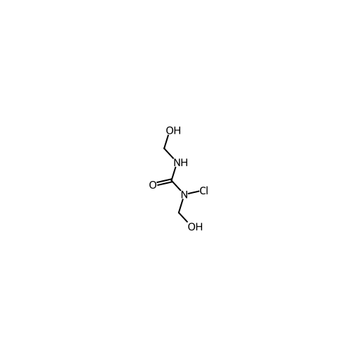 O=C(NCO)N(Cl)CO